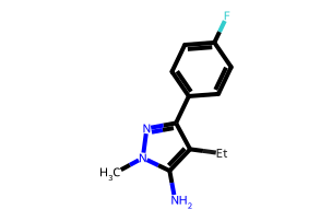 CCc1c(-c2ccc(F)cc2)nn(C)c1N